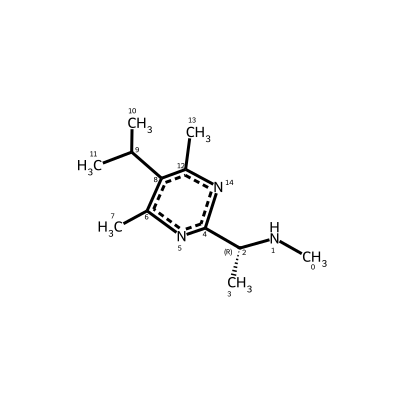 CN[C@H](C)c1nc(C)c(C(C)C)c(C)n1